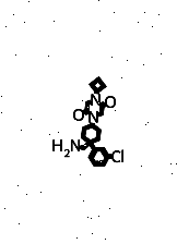 NCC1(c2cccc(Cl)c2)CCC(N2CC(=O)N(C3CCC3)CC2=O)CC1